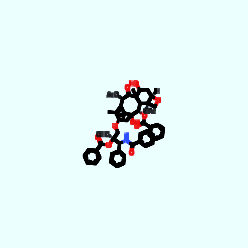 CC(=O)O[C@H]1C(=O)[C@@]2(C)C([C@H](OC(=O)c3ccccc3)[C@]3(O)C[C@H](OC[C@](C=O)(OC(=O)c4ccccc4)[C@@H](NC(=O)c4ccccc4)c4ccccc4)C(C)=C1C3(C)C)[C@]1(OC(C)=O)CO[C@@H]1C[C@@H]2O